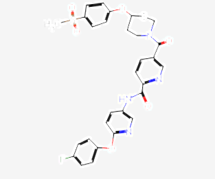 CS(=O)(=O)c1ccc(OC2CCN(C(=O)c3ccc(C(=O)Nc4ccc(Oc5ccc(F)cc5)nc4)nc3)CC2)cc1